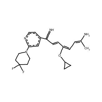 C\C(N)=C/C=C(\C=C\C(=N)c1ccnc(N2CCC(F)(F)CC2)c1)OC1CC1